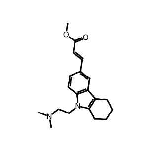 COC(=O)/C=C/c1ccc2c(c1)c1c(n2CCN(C)C)CCCC1